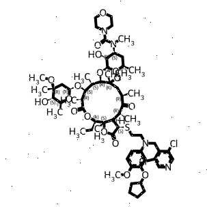 CC[C@H]1OC(=O)[C@H](C)[C@@H](O[C@H]2C[C@@](C)(OC)[C@@H](O)[C@H](C)O2)[C@H](C)[C@@H](O[C@@H]2O[C@H](C)C[C@H](N(C)C(=O)N3CCOCC3)[C@H]2O)[C@](C)(OC)C[C@@H](C)C(=O)[C@H](C)[C@H]2[C@H](SCCN(Cc3c(Cl)cncc3Cl)c3ccc(OC)c(OC4CCCC4)c3)C(=O)O[C@@]21C